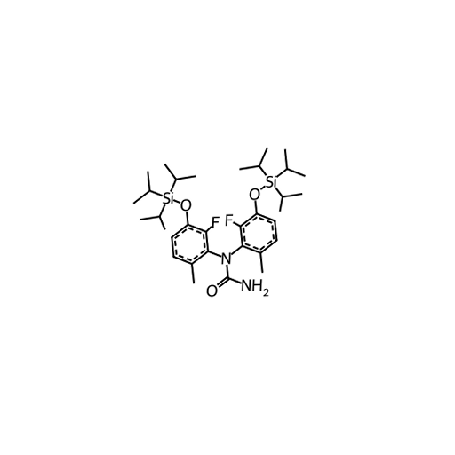 Cc1ccc(O[Si](C(C)C)(C(C)C)C(C)C)c(F)c1N(C(N)=O)c1c(C)ccc(O[Si](C(C)C)(C(C)C)C(C)C)c1F